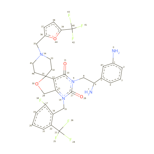 Nc1cccc(C(N)Cn2c(=O)c3c(n(Cc4c(F)cccc4C(F)(F)F)c2=O)COC32CCN(Cc3ccc(C(F)(F)F)o3)CC2)c1